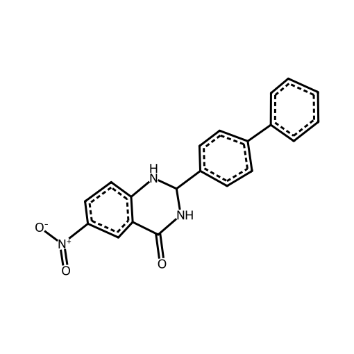 O=C1NC(c2ccc(-c3ccccc3)cc2)Nc2ccc([N+](=O)[O-])cc21